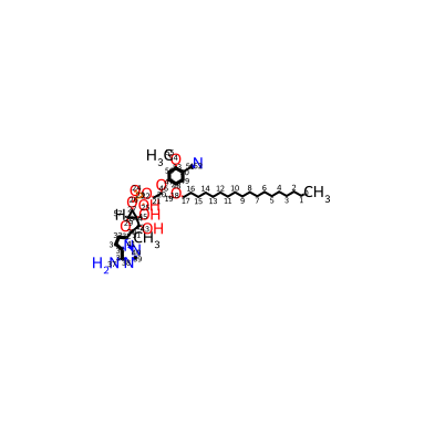 CCCCCCCCCCCCCCCCCCOC[C@H](COP(=O)(O)OC1[C@H]2O[C@@](C)(c3ccc4c(N)ncnn34)[C@H](O)[C@@]12O)Oc1ccc(C#N)c(OC)c1